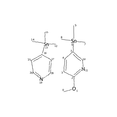 COc1cc[c]([Sn]([CH3])([CH3])[CH3])cn1.[CH3][Sn]([CH3])([CH3])[c]1ccncc1